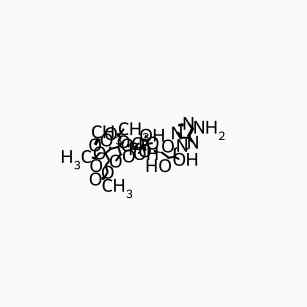 CC(=O)OCC1O[C@@H](OP(=O)(O)OP(=O)(O)OC[C@H]2O[C@@H](n3cnc4c(N)ncnc43)C(O)C2O)C(OC(C)=O)C(OC(C)=O)[C@@H]1OC(C)=O